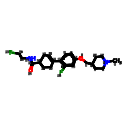 CN1CCC(COc2ccc(C3=CCC(C(=O)NCCF)CC3)c(F)c2)CC1